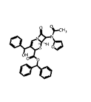 CC(=O)N(c1ccco1)C1C(=O)N2C=C(C(O)c3ccccc3)C(C(=O)OC(c3ccccc3)c3ccccc3)S[C@H]12